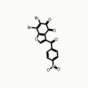 O=C1C(=O)c2c(C(=O)c3ccc([N+](=O)[O-])cc3)coc2C(Br)=C1Br